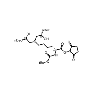 CCCCCCCCCC[C@@H](O)CN(CCCC[C@@H](NC(=O)OC(C)(C)C)C(=O)ON1C(=O)CCC1=O)C[C@H](O)CCCCCCCCCC